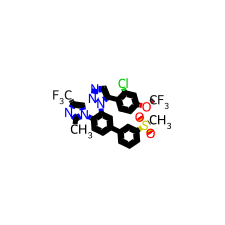 Cc1nc(C(F)(F)F)cn1-c1ccc(-c2cccc(S(C)(=O)=O)c2)cc1-n1nncc1-c1ccc(OC(F)(F)F)cc1Cl